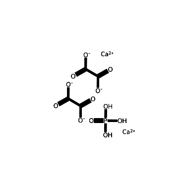 O=C([O-])C(=O)[O-].O=C([O-])C(=O)[O-].O=P(O)(O)O.[Ca+2].[Ca+2]